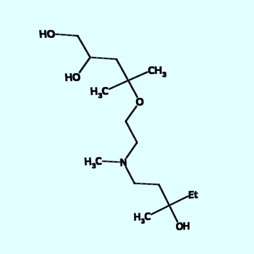 CCC(C)(O)CCN(C)CCOC(C)(C)CC(O)CO